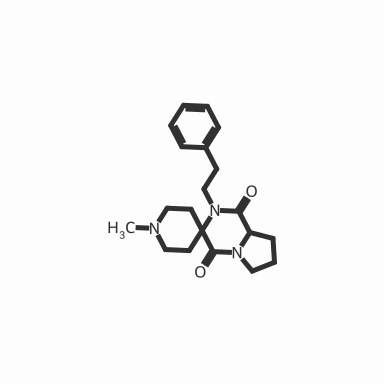 CN1CCC2(CC1)C(=O)N1CCCC1C(=O)N2CCc1ccccc1